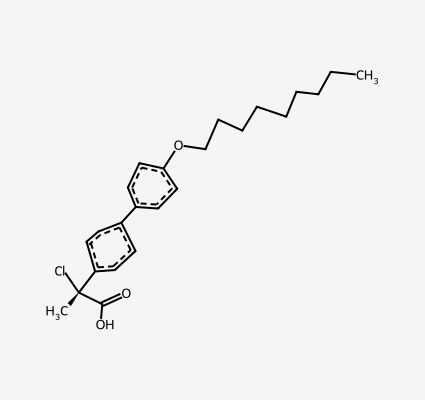 CCCCCCCCCOc1ccc(-c2ccc([C@@](C)(Cl)C(=O)O)cc2)cc1